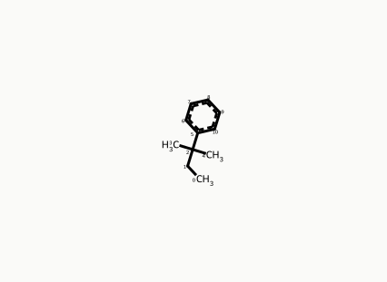 CCC(C)(C)c1cc[c]cc1